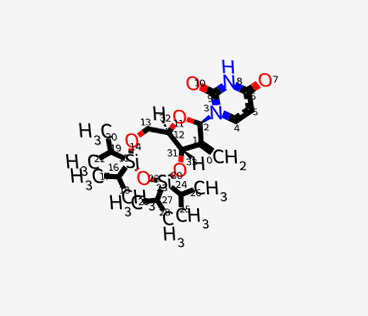 C=C1[C@H](n2ccc(=O)[nH]c2=O)O[C@@H]2CO[Si](C(C)C)(C(C)C)O[Si](C(C)C)(C(C)C)O[C@@H]12